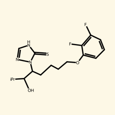 CC(C)C(O)C(CCCCOc1cccc(F)c1F)n1nc[nH]c1=S